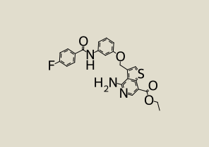 CCOC(=O)c1cnc(N)c2c(COc3cccc(NC(=O)c4ccc(F)cc4)c3)csc12